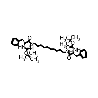 CC(C)(C)OC(=O)N[C@@H](Cc1ccccc1)C(=O)NCCCCCCCCCCNC(=O)[C@H](Cc1ccccc1)NC(=O)OC(C)(C)C